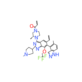 C=CC(=O)N1CCN(c2nc(C3CCN(C)CC3)nc3c(OCC(F)(F)F)c(-c4c(C)ccc5[nH]ncc45)c(C=C)cc23)[C@@H](C)C1